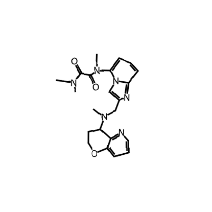 CN(C)C(=O)C(=O)N(C)c1cccc2nc(CN(C)C3CCOc4cccnc43)cn12